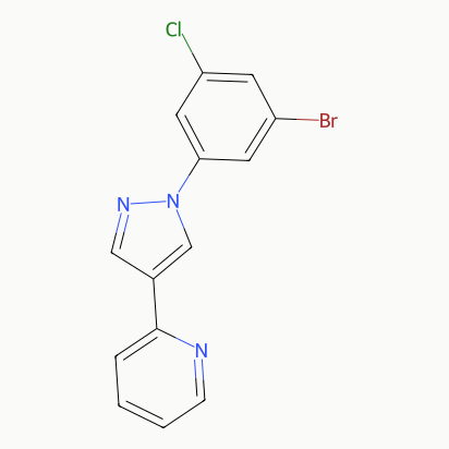 Clc1cc(Br)cc(-n2cc(-c3ccccn3)cn2)c1